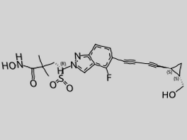 CC(C)(C[C@H](n1cc2c(F)c(C#CC#C[C@H]3C[C@@H]3CO)ccc2n1)[SH](=O)=O)C(=O)NO